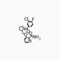 NC(=O)c1ncccc1OCC1CCCN1C(=O)c1ccc(F)c(Cl)c1